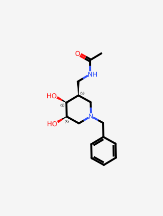 CC(=O)NC[C@H]1CN(Cc2ccccc2)C[C@@H](O)[C@H]1O